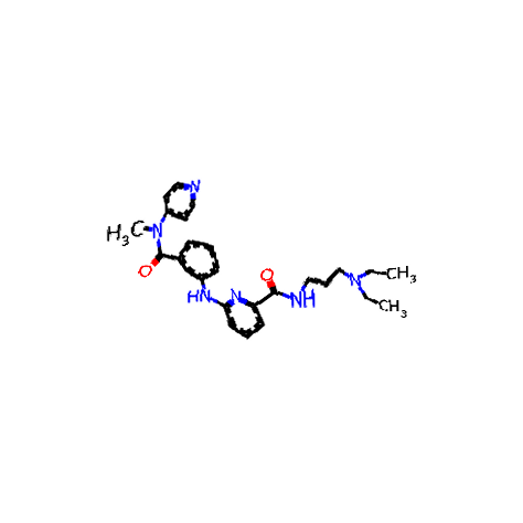 CCN(CC)CCCNC(=O)c1cccc(Nc2cccc(C(=O)N(C)c3ccncc3)c2)n1